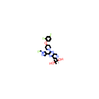 CC(C)(O)[C@](C)(O)c1cc2nc(-c3cnn(CF)c3)c(N3CCC(Oc4ccc(F)cc4F)CC3)nc2cn1